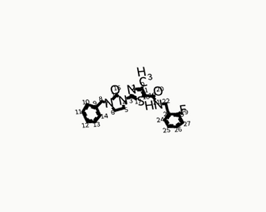 Cc1nc(N2CCN(Cc3ccccc3)C2=O)sc1C(=O)NCc1ccccc1F